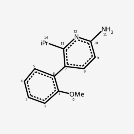 COc1ccccc1-c1ccc(N)nc1C(C)C